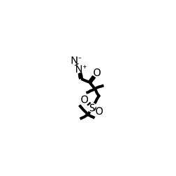 CC(C)(CS(=O)(=O)C(C)(C)C)C(=O)C=[N+]=[N-]